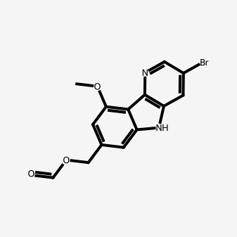 COc1cc(COC=O)cc2[nH]c3cc(Br)cnc3c12